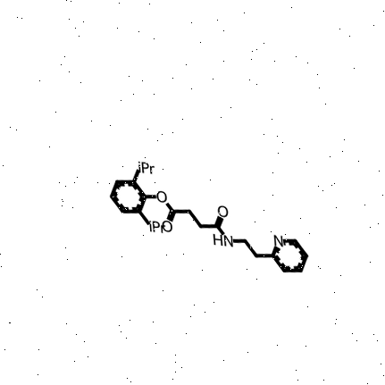 CC(C)c1cccc(C(C)C)c1OC(=O)CCC(=O)NCCc1ccccn1